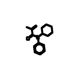 C=C(C)C(=O)N(c1ccccc1)C1CCCCC1